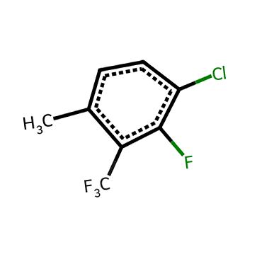 Cc1ccc(Cl)c(F)c1C(F)(F)F